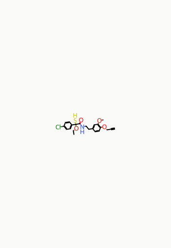 C#CCOc1ccc(CCNC(=O)C(S)(OCC)c2ccc(Cl)cc2)cc1OC